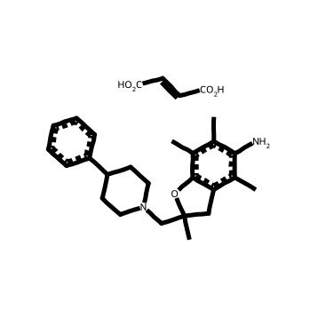 Cc1c(C)c2c(c(C)c1N)CC(C)(CN1CCC(c3ccccc3)CC1)O2.O=C(O)/C=C/C(=O)O